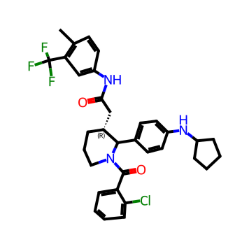 Cc1ccc(NC(=O)C[C@H]2CCCN(C(=O)c3ccccc3Cl)C2c2ccc(NC3CCCC3)cc2)cc1C(F)(F)F